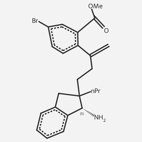 C=C(CCC1(CCC)Cc2ccccc2[C@H]1N)c1ccc(Br)cc1C(=O)OC